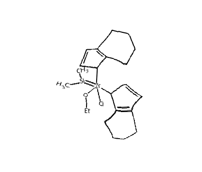 CC[O][Zr]([Cl])([CH]1C=CC2=C1CCCC2)([CH]1C=CC2=C1CCCC2)=[Si](C)C